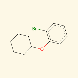 Brc1ccccc1OC1CCCCC1